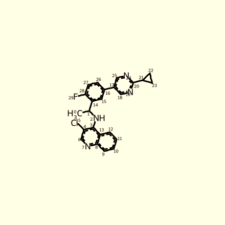 CC(Nc1c(Cl)cnc2ccccc12)c1cc(-c2cnc(C3CC3)nc2)ccc1F